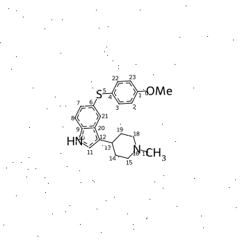 COc1ccc(Sc2ccc3[nH]cc(C4CCN(C)CC4)c3c2)cc1